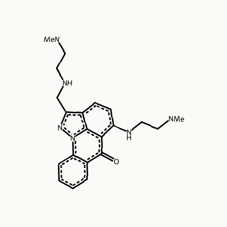 CNCCNCc1nn2c3ccccc3c(=O)c3c(NCCNC)ccc1c32